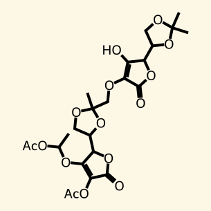 CC(=O)OC1=C(OC(C)OC(C)=O)C(C2COC(C)(COC3=C(O)C(C4COC(C)(C)O4)OC3=O)O2)OC1=O